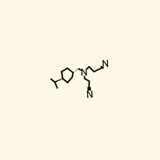 CC(C)[C@H]1CC[C@H](CN(CCC#N)CCC#N)CC1